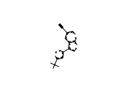 C#Cc1cnc2[nH]cc(-c3cc(C(F)(F)F)sn3)c2c1